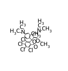 CCOc1cc(N(CC)CC)ccc1C1(c2ccc(N(CC)CC)cc2C)OC(=O)c2c(Cl)c(Cl)c(Cl)c(Cl)c21